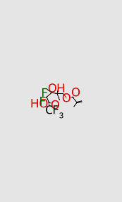 C=C(C)C(=O)OCC1(C)COC(O)(C(F)(F)F)C(F)(F)C1(C)O